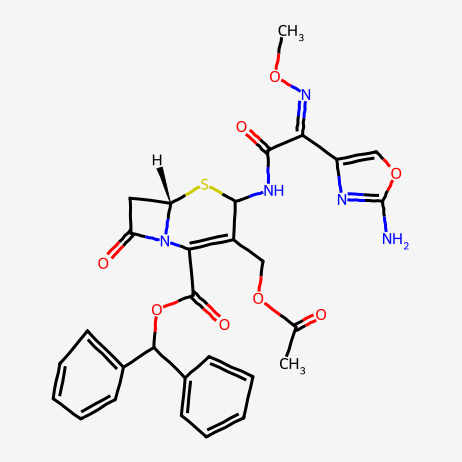 CO/N=C(\C(=O)NC1S[C@H]2CC(=O)N2C(C(=O)OC(c2ccccc2)c2ccccc2)=C1COC(C)=O)c1coc(N)n1